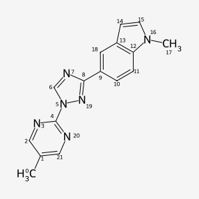 Cc1cnc(-n2cnc(-c3ccc4c(ccn4C)c3)n2)nc1